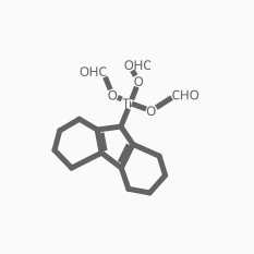 O=C[O][Ti]([O]C=O)([O]C=O)[CH]1C2=C(CCCC2)C2=C1CCCC2